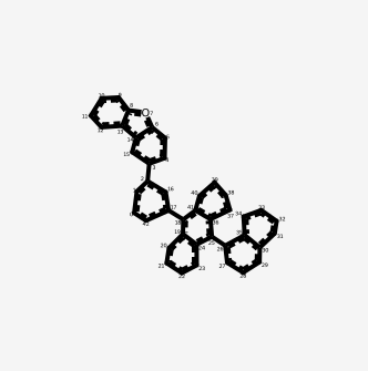 c1cc(-c2ccc3oc4ccccc4c3c2)cc(-c2c3ccccc3c(-c3cccc4ccccc34)c3ccccc23)c1